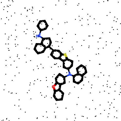 c1ccc(Nc2ccc(-c3ccc4c(c3)sc3ccc(N(c5ccc6oc7ccccc7c6c5)c5cccc6ccccc56)cc34)c3ccccc23)cc1